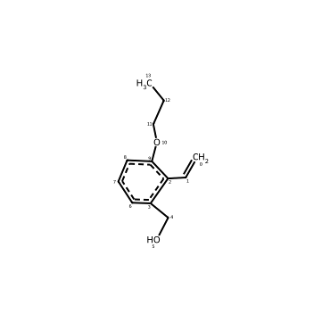 C=Cc1c(CO)cccc1OCCC